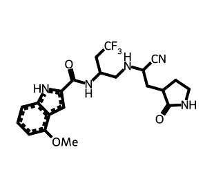 COc1cccc2[nH]c(C(=O)NC(CNC(C#N)CC3CCNC3=O)CC(F)(F)F)cc12